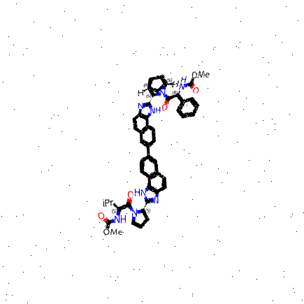 COC(=O)N[C@H](C(=O)N1CCC[C@H]1c1nc2ccc3cc(-c4ccc5c(ccc6nc([C@@H]7[C@@H]8CC[C@@H](C8)N7C(=O)[C@H](NC(=O)OC)c7ccccc7)[nH]c65)c4)ccc3c2[nH]1)C(C)C